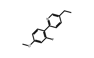 CCc1ccc(-c2ccc(OC)cc2F)nc1